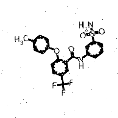 Cc1ccc(Oc2ccc(C(F)(F)F)cc2C(=O)Nc2cccc(S(N)(=O)=O)c2)cc1